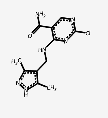 Cc1n[nH]c(C)c1CNc1nc(Cl)ncc1C(N)=O